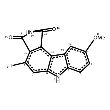 COc1ccc2[nH]c3cc(I)c4c(c3c2c1)C(=O)NC4=O